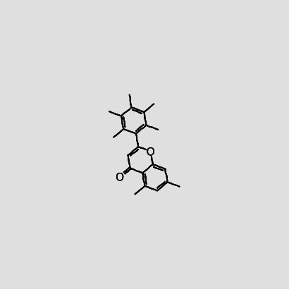 Cc1cc(C)c2c(=O)cc(-c3c(C)c(C)c(C)c(C)c3C)oc2c1